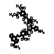 CC(=O)Oc1ccc(C(=O)NNC(=O)C(C)(C)ON=C(C(=O)N[C@@H]2C(=O)N3C(C(=O)O)=C(CSc4c5c(nc6c(C(N)=O)cnn46)CCC5)CS[C@H]23)c2csc(N)n2)cc1OC(C)=O